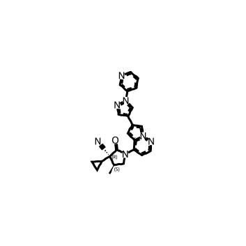 C[C@@H]1CN(c2ccnn3cc(-c4cnn(-c5cccnc5)c4)cc23)C(=O)[C@]1(C#N)C1CC1